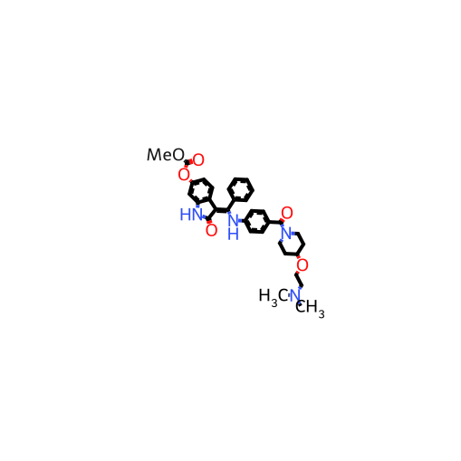 COC(=O)Oc1ccc2c(c1)NC(=O)/C2=C(\Nc1ccc(C(=O)N2CCC(OCCN(C)C)CC2)cc1)c1ccccc1